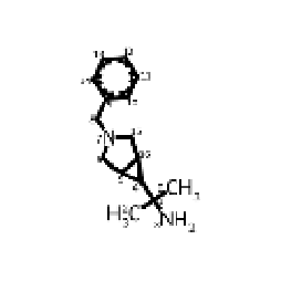 CC(C)(N)C1C2CN(Cc3ccccc3)CC21